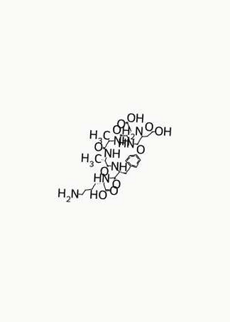 C[C@H](NC(=O)[C@H](C)NC(=O)[C@H](CC(=O)O)NC(=O)[C@@H](N)CC(=O)O)C(=O)N[C@@H](Cc1ccccc1)C(=O)N[C@@H](CCCCN)C(=O)O